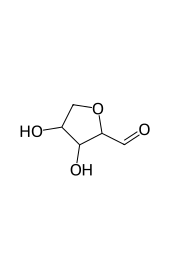 O=CC1OCC(O)C1O